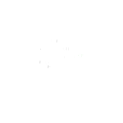 CC1=C(C)[C]([Ti+3])(C(C)(c2ccccc2)c2ccccc2)C(C)=C1C.[Cl-].[Cl-].[Cl-]